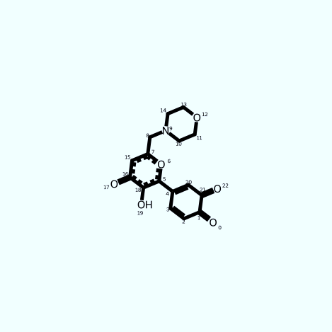 O=C1C=CC(c2oc(CN3CCOCC3)cc(=O)c2O)=CC1=O